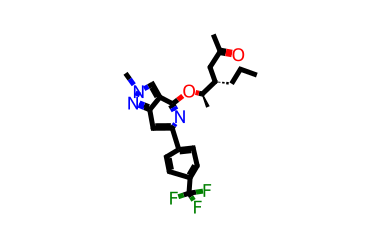 CCC[C@@H](CC(C)=O)[C@@H](C)Oc1nc(-c2ccc(C(F)(F)F)cc2)cc2nn(C)cc12